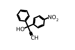 C#CC(O)(c1ccccc1)c1ccc([N+](=O)[O-])cc1